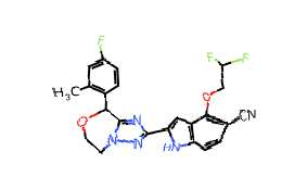 Cc1cc(F)ccc1C1OCCn2nc(-c3cc4c(OCC(F)F)c(C#N)ccc4[nH]3)nc21